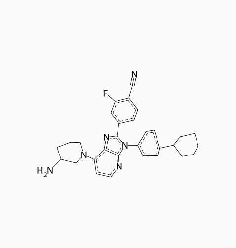 N#Cc1ccc(-c2nc3c(N4CCCC(N)C4)ccnc3n2-c2ccc(C3CCCCC3)cc2)cc1F